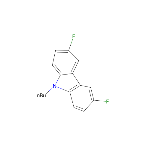 CCCCn1c2ccc(F)cc2c2cc(F)ccc21